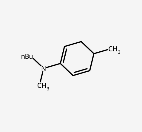 CCCCN(C)C1=CCC(C)C=C1